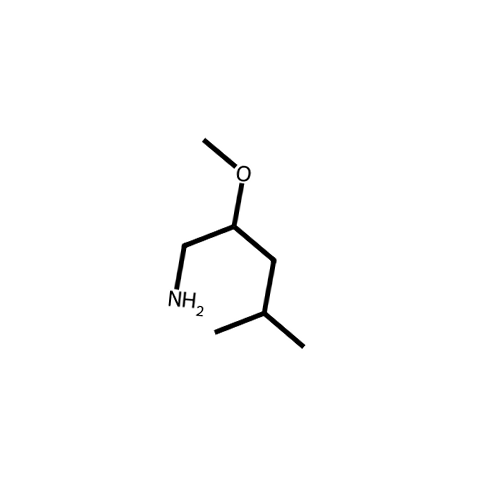 COC(CN)CC(C)C